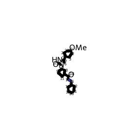 COc1ccc(-c2cn(-c3cccc(C(=O)/C=C/c4ccccc4)c3)c(=O)[nH]2)cc1